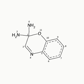 NC1(N)C=Nc2ccccc2O1